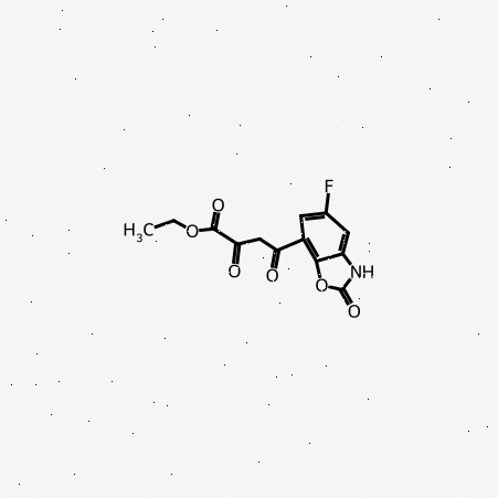 CCOC(=O)C(=O)CC(=O)c1cc(F)cc2[nH]c(=O)oc12